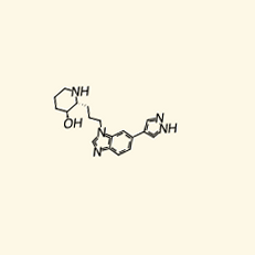 O[C@H]1CCCN[C@@H]1CCCn1cnc2ccc(-c3cn[nH]c3)cc21